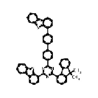 CC1(C)c2ccccc2-c2c(-c3nc(-c4ccc(-c5ccc(-c6cccc7c6sc6ccccc67)cc5)cc4)nc(-c4cccc5c4sc4ccccc45)n3)cccc21